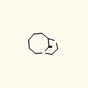 O=C1C2CCCCCN1CCN2